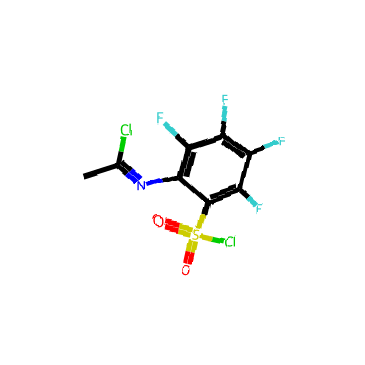 CC(Cl)=Nc1c(F)c(F)c(F)c(F)c1S(=O)(=O)Cl